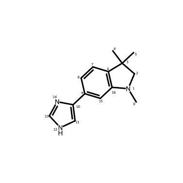 CN1CC(C)(C)c2ccc(-c3c[nH]cn3)cc21